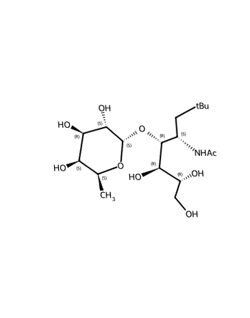 CC(=O)N[C@@H](CC(C)(C)C)[C@@H](O[C@@H]1O[C@@H](C)[C@@H](O)[C@@H](O)[C@@H]1O)[C@H](O)[C@H](O)CO